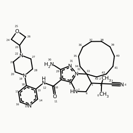 CC(C)(C#N)C1CNc2c(C(=O)Nc3cnccc3N3CCN(C4COC4)CC3)c(N)nn2C12CCCCCCCCCC2